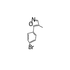 Cc1cnoc1-c1ccc(Br)cc1